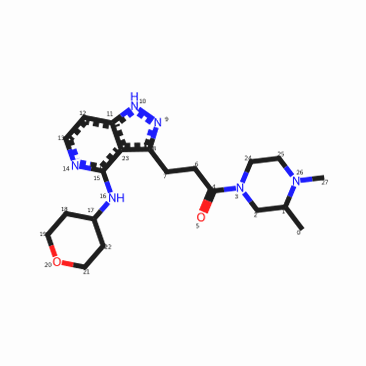 CC1CN(C(=O)CCc2n[nH]c3ccnc(NC4CCOCC4)c23)CCN1C